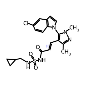 Cc1nn(C)c(-n2ccc3cc(Cl)ccc32)c1/C=C/C(=O)NS(=O)(=O)NCC1CC1